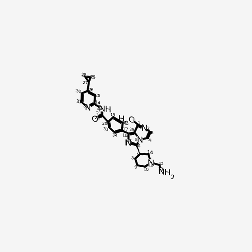 Cc1nccn2c([C@@H]3CCCN(CN)C3)nc(-c3ccc(C(=O)Nc4cc(C5CC5)ccn4)cc3)c12